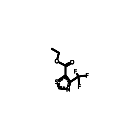 CCOC(=O)c1scnc1C(F)(F)F